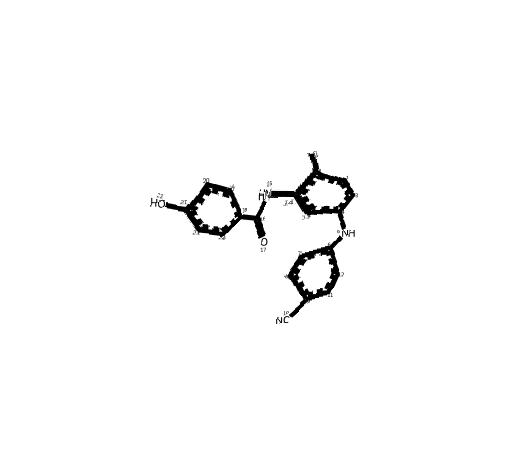 Cc1ccc(Nc2ccc(C#N)cc2)cc1NC(=O)c1ccc(O)cc1